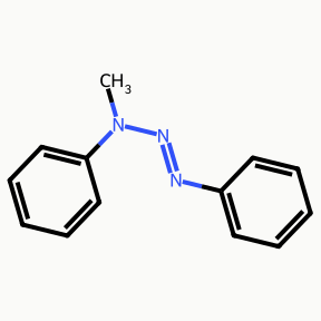 CN(/N=N/c1ccccc1)c1ccccc1